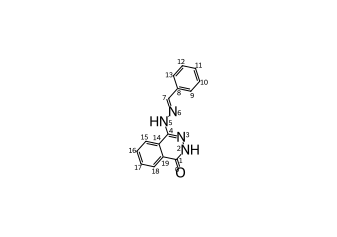 O=c1[nH]nc(NN=Cc2ccccc2)c2ccccc12